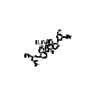 C[C](C)=[Hf]([CH3])([CH3])([CH]1C=Cc2c(-c3cc(C(C)C)cc(C(C)C)c3)cccc21)[CH]1C=Cc2c(-c3cc(C(C)C)cc(C(C)C)c3)cccc21